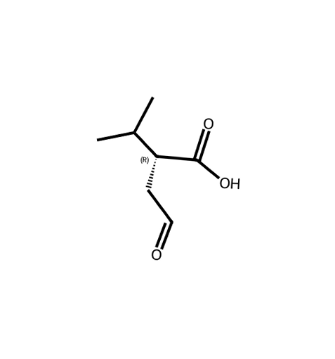 CC(C)[C@@H](CC=O)C(=O)O